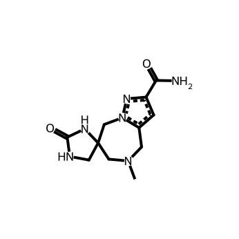 CN1Cc2cc(C(N)=O)nn2CC2(CNC(=O)N2)C1